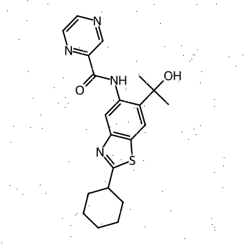 CC(C)(O)c1cc2sc(C3CCCCC3)nc2cc1NC(=O)c1cnccn1